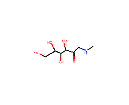 CNCC(=O)C(O)C(O)C(O)CO